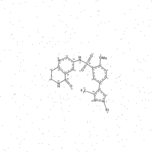 CCn1cc(-c2ccc(OC)c(S(=O)(=O)Nc3cnc4c(c3)C(=O)NCC4)c2)c(C(F)(F)F)n1